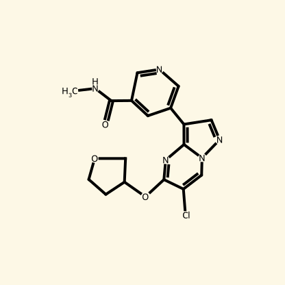 CNC(=O)c1cncc(-c2cnn3cc(Cl)c(OC4CCOC4)nc23)c1